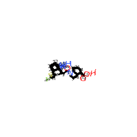 CC(CC(=O)N1CCCC2C(C(=O)O)CCCC21)c1n[nH]c2cccc(-c3ccc(F)s3)c12